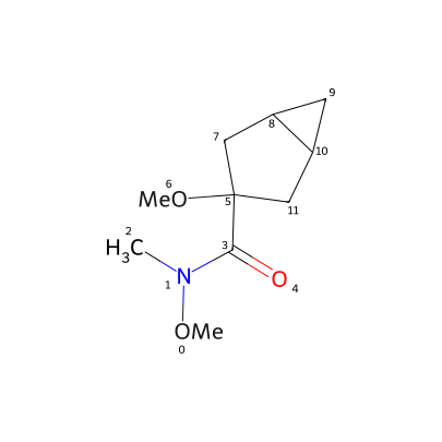 CON(C)C(=O)C1(OC)CC2CC2C1